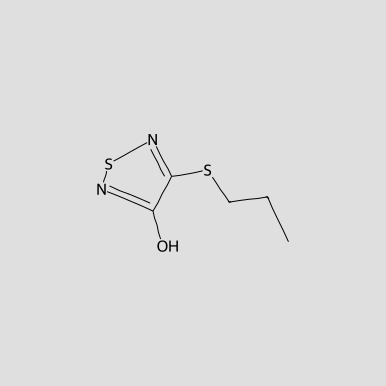 CCCSc1nsnc1O